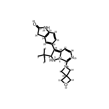 CC(C)(C)C1NN2C(N3CC4(COC4)C3)=NC=CC2=C1c1ccc2c(c1)CC(=O)N2